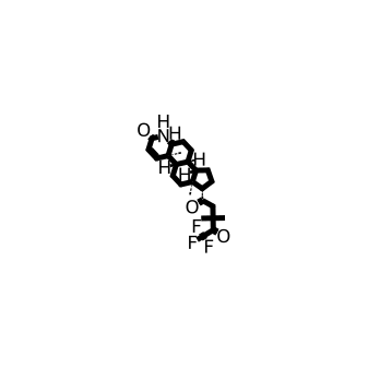 CC(C)(CC(=O)[C@H]1CC[C@H]2[C@@H]3CC[C@H]4NC(=O)C=C[C@]4(C)[C@H]3CC[C@]12C)C(=O)C(F)(F)F